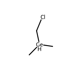 [CH3][GeH]([CH3])[CH2]Cl